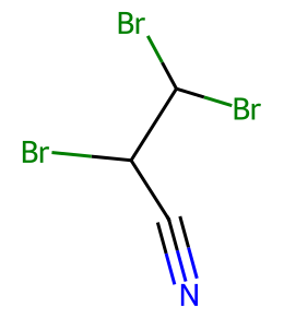 N#CC(Br)C(Br)Br